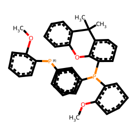 COc1ccccc1P(c1ccccc1)c1cccc2c1Oc1c([P@@](c3ccccc3)c3ccccc3OC)cccc1C2(C)C